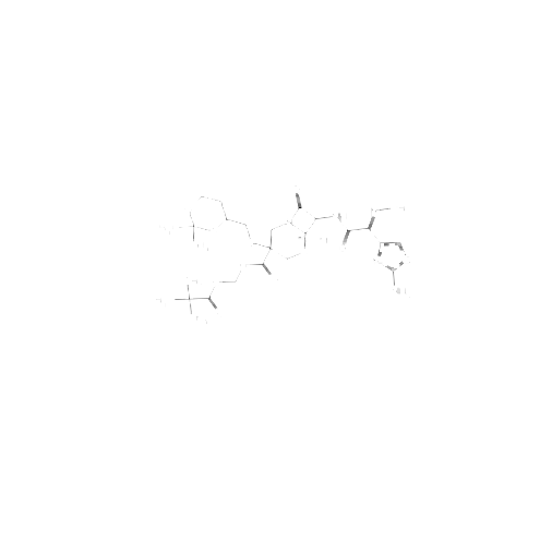 CC1(C)OCCC(CSC2(C(=O)OCOC(=O)C(C)(C)C)CS[C@@H]3C(NC(=O)C(=NO)c4csc(N)n4)C(=O)N3C2)O1